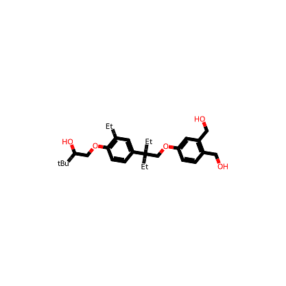 CCc1cc(C(CC)(CC)COc2ccc(CO)c(CO)c2)ccc1OCC(O)C(C)(C)C